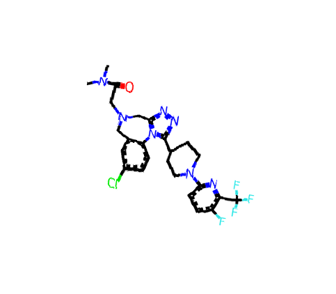 CN(C)C(=O)CN1Cc2cc(Cl)ccc2-n2c(nnc2C2CCN(c3ccc(F)c(C(F)(F)F)n3)CC2)C1